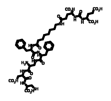 NC(CNC(=O)C(Cc1ccccc1)NC(=O)C(Cc1ccccc1)NC(=O)CCCCCCCNC(=O)CCC(NC(=O)NC(CCC(=O)O)C(=O)O)C(=O)O)C(=O)NC(CC(=O)O)C(=O)NC(CS)C(=O)O